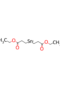 CCOC(=O)C[CH2][Sn][CH2]CC(=O)OCC